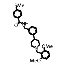 COc1cccc(OC)c1CN1CCC(c2cccc(CNC(=O)c3ccc(SC)cc3)c2)CC1